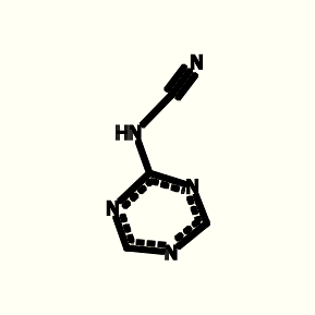 N#CNc1ncncn1